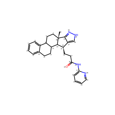 C[C@]12CCC3c4ccccc4CCC3C1[C@H](CCC(=O)Nc1ccccn1)c1c[nH]nc12